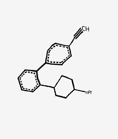 C#Cc1ccc(-c2ccccc2C2CCC(CCC)CC2)cc1